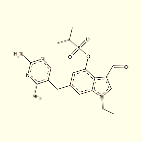 CCn1cc(C=O)c2c(OS(=O)(=O)C(C)C)cc(Cc3cnc(N)nc3N)cc21